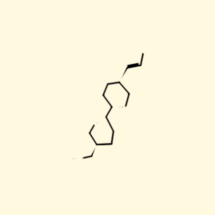 CC=C[C@H]1CC[C@H]([C@H]2CC[C@H](CO)CC2)CC1